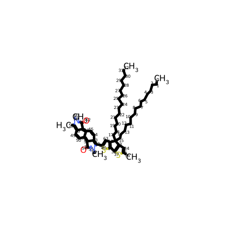 CCCCCCCCCCCCCCCCC1(CCCCCCCCCCCCCCCC)c2cc(C)sc2-c2sc(C3=c4ccc5c6c(ccc5c4C(=O)N3C)=C(C)N(C)C6=O)cc21